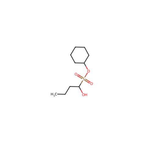 CCCC(O)S(=O)(=O)OC1CCCCC1